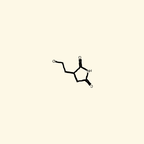 [O]CCC1CC(=O)NC1=O